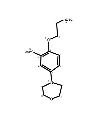 CCCCCCCCCCCCOc1ccc(N2CCOCC2)cc1SC